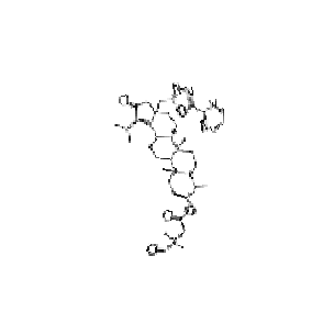 CC(C)C1=C2C3CCC4C(C)(CCC5C(C)C(OC(=O)CC(C)(C)C=O)CCC54C)C3CCC2(Cc2nnc(-c3ncccn3)o2)CC1=O